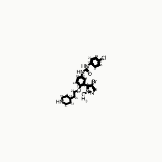 Cn1ncc(Br)c1-c1cc(NC(=O)Nc2ccc(Cl)cc2)ccc1OCCC1CCNCC1